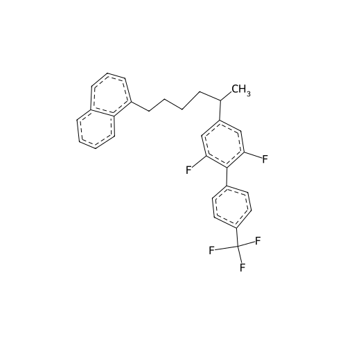 CC(CCCCc1cccc2ccccc12)c1cc(F)c(-c2ccc(C(F)(F)F)cc2)c(F)c1